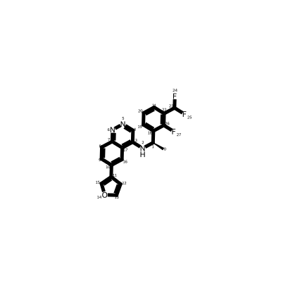 C[C@@H](Nc1cnnc2ccc(-c3ccoc3)cc12)c1cccc(C(F)F)c1F